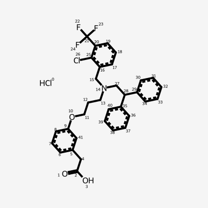 Cl.O=C(O)Cc1cccc(OCCCN(Cc2cccc(C(F)(F)F)c2Cl)CC(c2ccccc2)c2ccccc2)c1